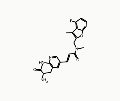 Cc1c(CN(C)C(=O)/C=C/c2cnc3c(c2)CC(N)C(=O)N3)oc2cccc(F)c12